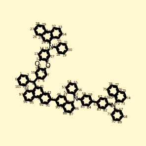 c1ccc(C(c2ccc3c(c2)Oc2ccc(N(c4ccccc4)c4cc5ccccc5c5ccccc45)cc2O3)c2cc3cc(-c4ccc5c(N(c6ccccc6)c6ccc(-c7ccc(N(c8ccccc8)c8cccc9ccccc89)cc7)cc6)cccc5c4)ccc3c3ccccc23)cc1